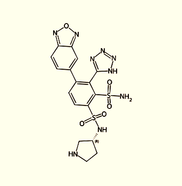 NS(=O)(=O)c1c(S(=O)(=O)N[C@@H]2CCNC2)ccc(-c2ccc3nonc3c2)c1-c1nnn[nH]1